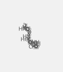 CCc1n[nH]c2cc(OCCNCC(O)c3cccc(NS(=O)(=O)c4c(Cl)cccc4Cl)c3)ccc12